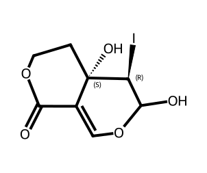 O=C1OCC[C@]2(O)C1=COC(O)[C@@H]2I